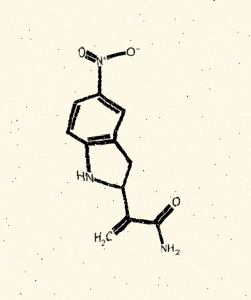 C=C(C(N)=O)C1Cc2cc([N+](=O)[O-])ccc2N1